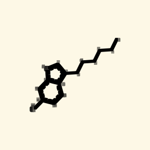 [CH2]CCCCCc1coc2cc(Cl)ccc12